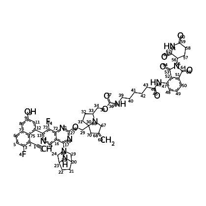 C#Cc1c(F)ccc2cc(O)cc(-c3ncc4c(N5CC6CCC(C5)N6)nc(OCC56CCC(COC(=O)NCCCCCC(=O)Nc7cccc8c7C(=O)N(C7CCC(=O)NC7=O)C8=O)N5CC(=C)C6)nc4c3F)c12